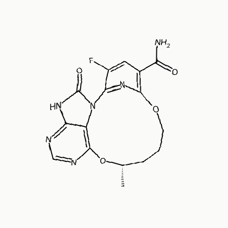 C[C@H]1CCCOc2nc(c(F)cc2C(N)=O)-n2c(=O)[nH]c3ncnc(c32)O1